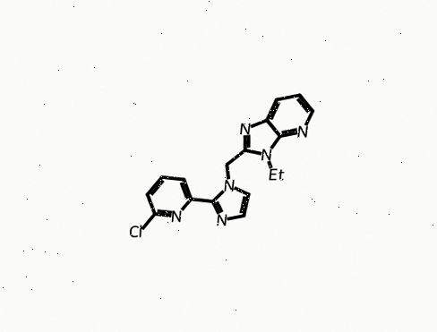 CCn1c(Cn2ccnc2-c2cccc(Cl)n2)nc2cccnc21